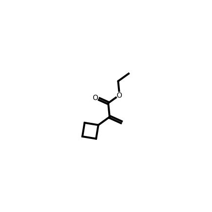 C=C(C(=O)OCC)C1CCC1